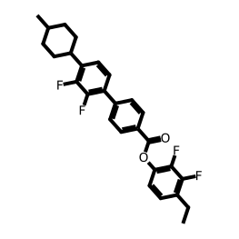 CCc1ccc(OC(=O)c2ccc(-c3ccc(C4CCC(C)CC4)c(F)c3F)cc2)c(F)c1F